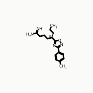 CCC[C@H](CCCC(=N)N)c1nc(-c2ccc(C)cc2)no1